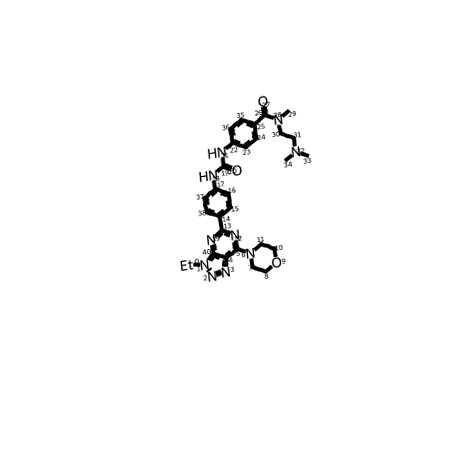 CCn1nnc2c(N3CCOCC3)nc(-c3ccc(NC(=O)Nc4ccc(C(=O)N(C)CCN(C)C)cc4)cc3)nc21